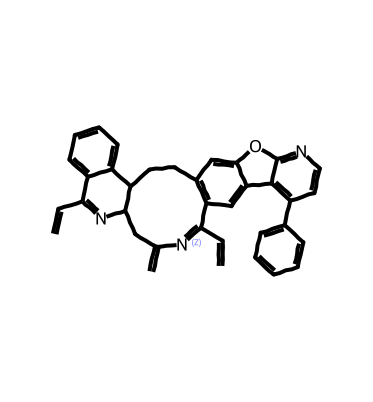 C=CC1=NC2CC(=C)/N=C(/C=C)c3cc4c(cc3CCC2c2ccccc21)oc1nccc(-c2ccccc2)c14